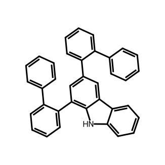 c1ccc(-c2ccccc2-c2cc(-c3ccccc3-c3ccccc3)c3[nH]c4ccccc4c3c2)cc1